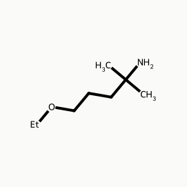 CCOCCCC(C)(C)N